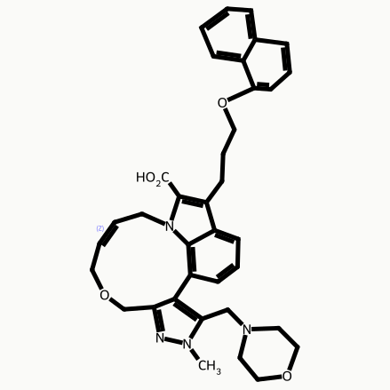 Cn1nc2c(c1CN1CCOCC1)-c1cccc3c(CCCOc4cccc5ccccc45)c(C(=O)O)n(c13)C/C=C\COC2